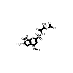 C[CH]C(=O)O[C@@H](C)C(=O)NS(=O)(=O)C1=C[C@H](NCC)C2=C(S1)S(=O)(=O)[C@@H](C)C2